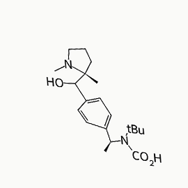 C[C@@H](c1ccc(C(O)[C@@]2(C)CCCN2C)cc1)N(C(=O)O)C(C)(C)C